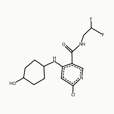 O=C(NCC(F)F)c1cnc(Cl)cc1NC1CCC(O)CC1